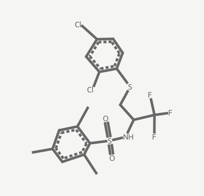 Cc1cc(C)c(S(=O)(=O)NC(CSc2ccc(Cl)cc2Cl)C(F)(F)F)c(C)c1